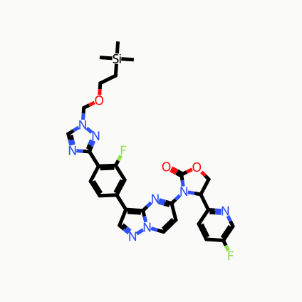 C[Si](C)(C)CCOCn1cnc(-c2ccc(-c3cnn4ccc(N5C(=O)OCC5c5ccc(F)cn5)nc34)cc2F)n1